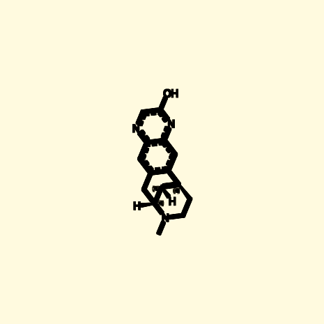 CN1CC[C@]23CCCC[C@H]2[C@H]1Cc1cc2ncc(O)nc2cc13